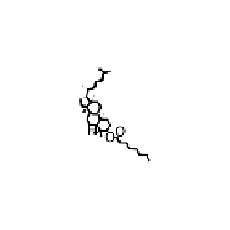 CCCCCCCC(=O)O[C@H]1CC[C@]2(C)C3=C(CC[C@H]2C1(C)C)[C@]1(C)CC[C@H]([C@H](C)CCC=C(C)C)[C@@]1(C)CC3